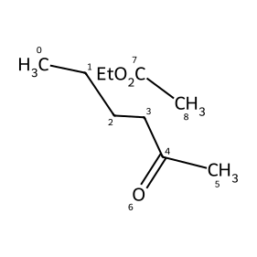 CCCCC(C)=O.CCOC(C)=O